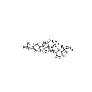 CCc1nn(-c2ccc(OC(F)F)cc2)c(C)c1C(=O)Nc1cccc(C(C)(F)F)c1